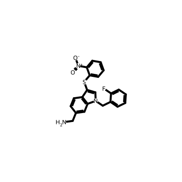 NCc1ccc2c(Sc3ccccc3[N+](=O)[O-])cn(Cc3ccccc3F)c2c1